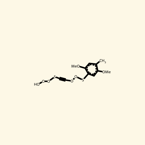 COc1cc(SOOC#CSOOO)c(OC)cc1C